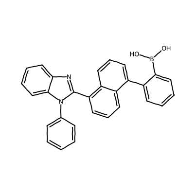 OB(O)c1ccccc1-c1cccc2c(-c3nc4ccccc4n3-c3ccccc3)cccc12